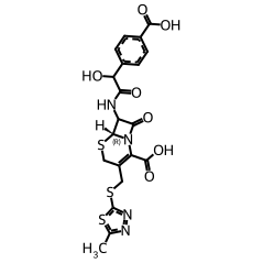 Cc1nnc(SCC2=C(C(=O)O)N3C(=O)C(NC(=O)C(O)c4ccc(C(=O)O)cc4)[C@H]3SC2)s1